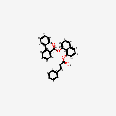 O=C(C=Cc1ccccc1)Oc1cccc2cccc(OC(=O)c3ccccc3-c3ccccc3)c12